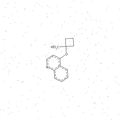 O=C(O)C1(Oc2ccnc3ccccc23)CCC1